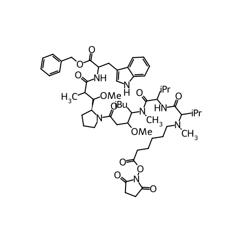 CCC(C)C(C(CC(=O)N1CCC[C@H]1C(OC)C(C)C(=O)NC(Cc1c[nH]c2ccccc12)C(=O)OCc1ccccc1)OC)N(C)C(=O)C(NC(=O)C(C(C)C)N(C)CCCCCC(=O)ON1C(=O)CCC1=O)C(C)C